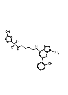 Bc1cnn2c(NCCCCNS(=O)(=O)c3ccc(O)s3)cc(-c3ccccc3O)nc12